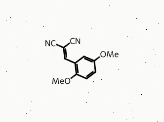 COc1ccc(OC)c(C=C(C#N)C#N)c1